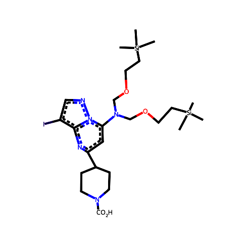 C[Si](C)(C)CCOCN(COCC[Si](C)(C)C)c1cc(C2CCN(C(=O)O)CC2)nc2c(I)cnn12